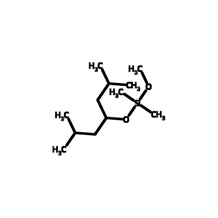 CO[Si](C)(C)OC(CC(C)C)CC(C)C